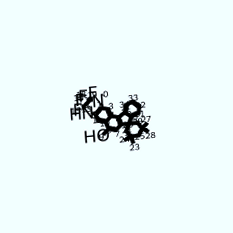 CN1c2cc3c4c(cc(O)c3cc2NC(F)(F)C1(F)F)C1(CC(C)(C)CC(C)(C)C1)c1ccccc1-4